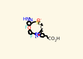 Cn1nc2nc1-c1cc(ccc1F)Oc1c(F)cc3[nH]cnc3c1CC[S+]([O-])CC(C)(C)CCC2(C)c1cccc(CCC(=O)O)c1